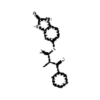 CC(C(=O)Nc1ccc2[nH]c(=O)[nH]c2c1)C(=O)c1ccccc1